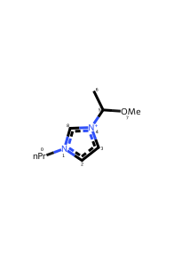 CCCn1cc[n+](C(C)OC)c1